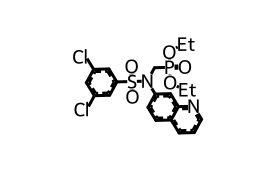 CCOP(=O)(CN(c1ccc2cccnc2c1)S(=O)(=O)c1cc(Cl)cc(Cl)c1)OCC